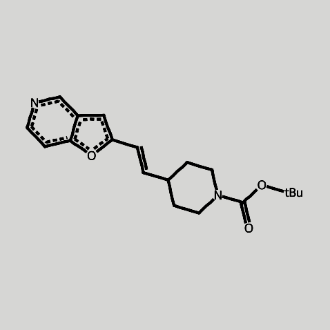 CC(C)(C)OC(=O)N1CCC(C=Cc2cc3cnccc3o2)CC1